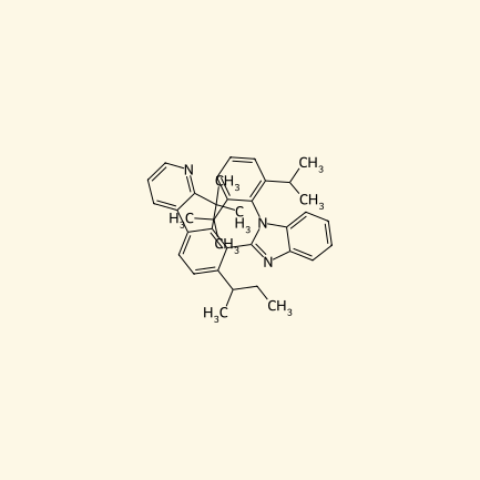 CCC(C)c1ccc2c(c1-c1nc3ccccc3n1-c1c(C(C)C)cccc1C(C)C)C(C)(C)c1ncccc1-2